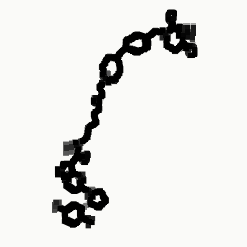 O=C1CCN(Cc2ccc(C3CCN(CCOCCCCCNC(=O)c4cnn5ccc(N6CCC[C@@H]6c6cc(F)ccc6F)nc45)CC3)cc2)C(=O)N1